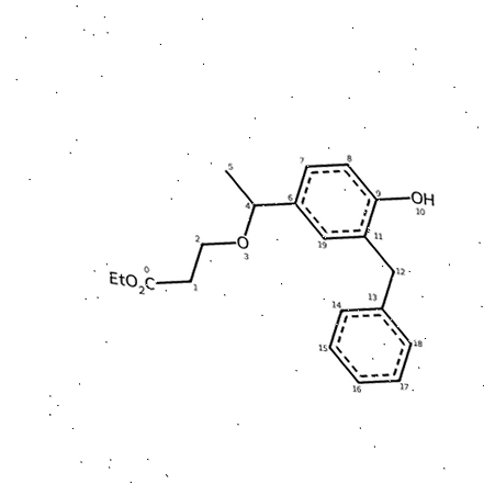 CCOC(=O)CCOC(C)c1ccc(O)c(Cc2ccccc2)c1